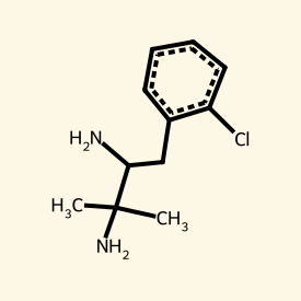 CC(C)(N)C(N)Cc1ccccc1Cl